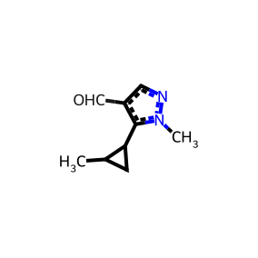 CC1CC1c1c(C=O)cnn1C